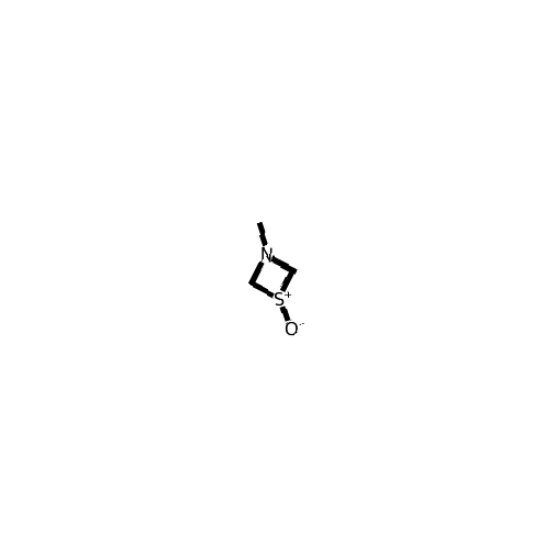 CN1C[S+]([O-])C1